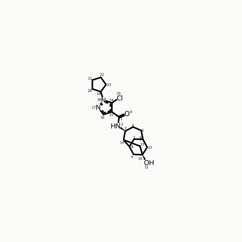 O=C(N[C@H]1CCC2CC3C[C@@](O)(C2)CC31)c1cnn(C2CCCC2)c1Cl